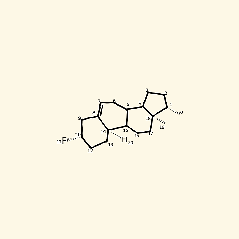 C[C@H]1CCC2C3CC=C4C[C@@H](F)CC[C@@H]4C3CC[C@@]21C